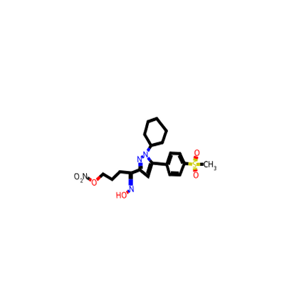 CS(=O)(=O)c1ccc(-c2cc(C(CCCO[N+](=O)[O-])=NO)nn2C2CCCCC2)cc1